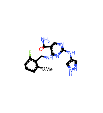 COc1cccc(F)c1CNc1nc(Nc2cn[nH]c2)ncc1C(N)=O